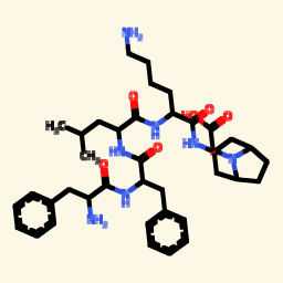 CC(C)CC(NC(=O)C(Cc1ccccc1)NC(=O)C(N)Cc1ccccc1)C(=O)NC(CCCCN)C(=O)NC1CC2CCC(C1)N2CC(=O)O